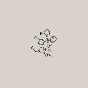 C[C@H]1CN(CC2CC2)CCN1C(=O)OC[C@H]1CCC[C@@H](c2cccc(F)c2)N1S(=O)(=O)c1cccc(Cl)c1